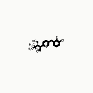 CC(C)(C)[C@@H](CO)C(C=O)c1ccc(Cc2cccc(Cl)c2F)cn1